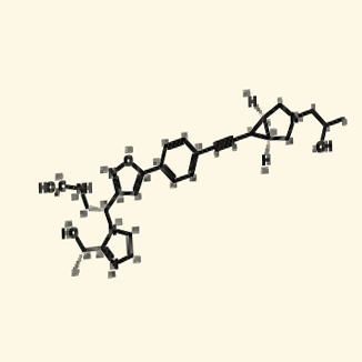 CC(O)CN1C[C@@H]2C(C#Cc3ccc(-c4cc([C@@H](CNC(=O)O)n5ccnc5[C@H](C)O)no4)cc3)[C@@H]2C1